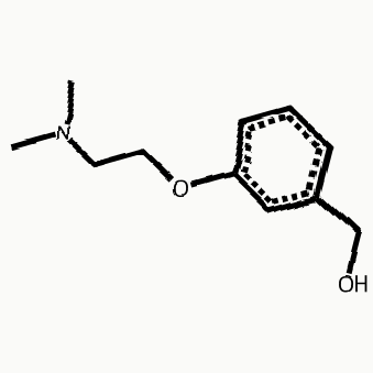 CN(C)CCOc1cccc(CO)c1